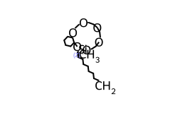 C=CCCCCCC/C=C\[Si]1(C)OCCOCCOCCOCCOC2CCCCC2O1